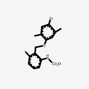 CCOC(=O)Nc1cccc(I)c1COc1cc(C)c(CC)cc1C